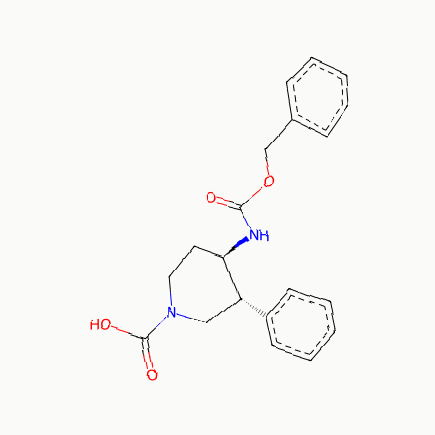 O=C(N[C@@H]1CCN(C(=O)O)C[C@H]1c1ccccc1)OCc1ccccc1